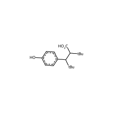 CC(C)(C)C(C(=O)O)C(c1ccc(O)cc1)C(C)(C)C